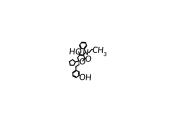 CCCN(C1=C(O)C[C@@](CCc2cccc(O)c2)(C2CCCC2)OC1=O)c1ccccc1